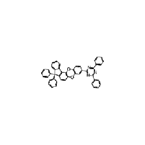 c1ccc(-c2nc(-c3ccccc3)nc(-c3ccc4c(c3)Oc3ccc5c(c3O4)-c3ccccc3C5(c3ccccc3)c3ccccc3)n2)cc1